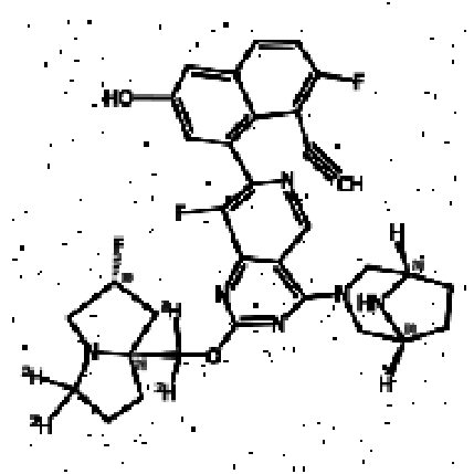 [2H]C1([2H])CC[C@@]2(C([2H])([2H])Oc3nc(N4C[C@H]5CC[C@@H](C4)N5)c4cnc(-c5cc(O)cc6ccc(F)c(C#C)c56)c(F)c4n3)C[C@@H](F)CN12